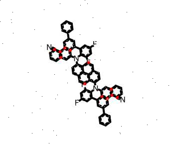 N#Cc1ccc(N(c2c(F)cc(F)cc2-c2cc(-c3ccccc3)cc(-c3ccccc3)c2)c2ccc3ccc4c(N(c5ccc(C#N)cc5)c5c(F)cc(F)cc5-c5cc(-c6ccccc6)cc(-c6ccccc6)c5)ccc5ccc2c3c54)cc1